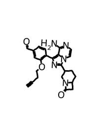 C#CCCOc1cc(C=O)ccc1-c1nc(C2CCC3CC(=O)N3C2)n2ccnc(N)c12